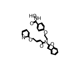 O=C(NO)c1ccc(OCCN(C(=O)C=CCOc2ccccn2)c2cc3ccccc3o2)cc1